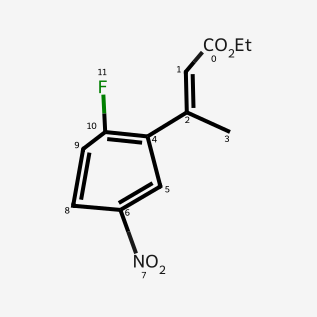 CCOC(=O)C=C(C)c1cc([N+](=O)[O-])ccc1F